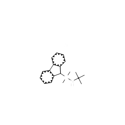 CC(C)(C)N[Si](C)(C)C1c2ccccc2-c2ccccc21.[Cl-].[Cl-].[Hf+2]